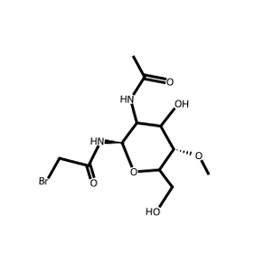 CO[C@@H]1C(CO)O[C@@H](NC(=O)CBr)C(NC(C)=O)C1O